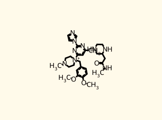 CNC(=O)CC1CNCCN1.COc1ccc(C[N+]2(c3cc(C)nc(-n4ccnc4)n3)CCN(C)CC2)cc1OC